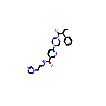 CCC(C(=O)N1CCN(c2ccc(C(=O)NCCCn3ccnc3)cn2)CC1)c1ccccc1